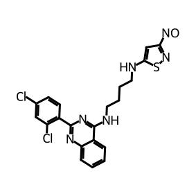 O=Nc1cc(NCCCCNc2nc(-c3ccc(Cl)cc3Cl)nc3ccccc23)sn1